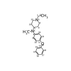 CCN1CCC(N(C)c2ccc(Oc3cc[c]cc3)cc2)CC1